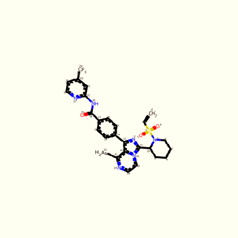 C=CS(=O)(=O)N1CCCCC1c1nc(-c2ccc(C(=O)Nc3cc(C(F)(F)F)ccn3)cc2)c2c([AsH2])nccn12